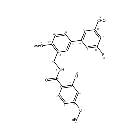 CCCOc1ccc(C(=O)NCc2cc(-c3cc(F)cc(C=O)c3)ccc2OC)c(Cl)c1